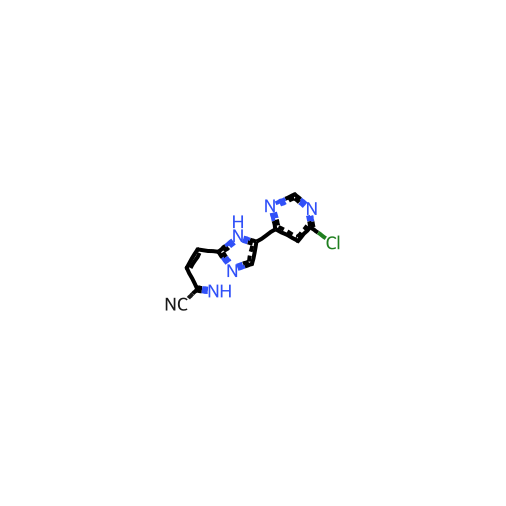 N#CC(=N)/C=C\c1ncc(-c2cc(Cl)ncn2)[nH]1